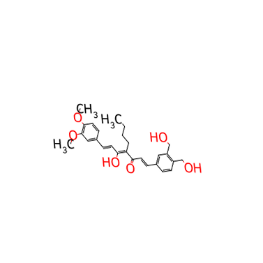 CCCC/C(C(=O)/C=C/c1ccc(CO)c(CO)c1)=C(O)\C=C\c1ccc(OC)c(OC)c1